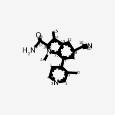 Cc1cnccc1-c1cc(C#N)cc2c(C)c(C(N)=O)n(C)c12